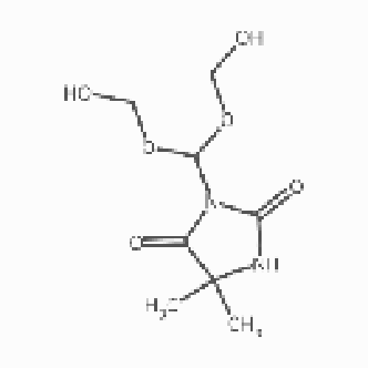 CC1(C)NC(=O)N([C](OCO)OCO)C1=O